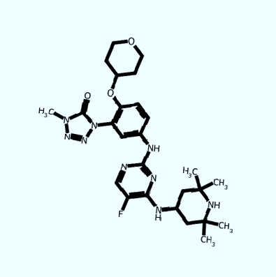 Cn1nnn(-c2cc(Nc3ncc(F)c(NC4CC(C)(C)NC(C)(C)C4)n3)ccc2OC2CCOCC2)c1=O